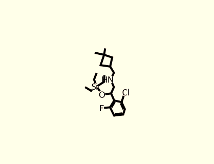 CC[Si](CC)(CC)OC(CNCC1CC(C)(C)C1)c1c(F)cccc1Cl